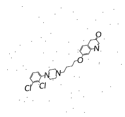 O=C1C=Nc2cc(OCCCCN3CCN(c4cccc(Cl)c4Cl)CC3)ccc2C1